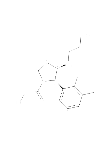 COCCO[C@@H]1CCN(C(=O)OC(C)(C)C)[C@@H]1c1cccc(C)c1Cl